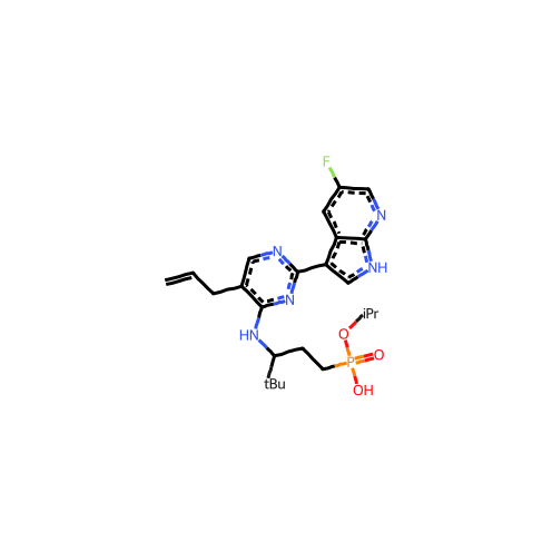 C=CCc1cnc(-c2c[nH]c3ncc(F)cc23)nc1NC(CCP(=O)(O)OC(C)C)C(C)(C)C